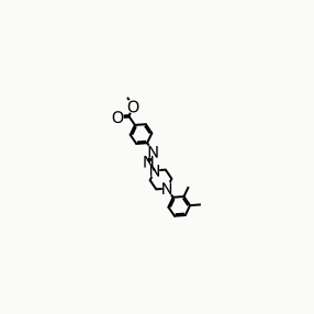 COC(=O)c1ccc(N=NN2CCN(c3cccc(C)c3C)CC2)cc1